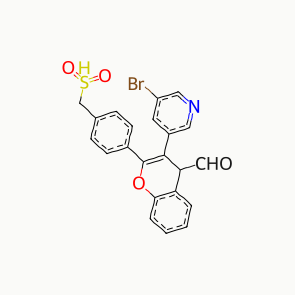 O=CC1C(c2cncc(Br)c2)=C(c2ccc(C[SH](=O)=O)cc2)Oc2ccccc21